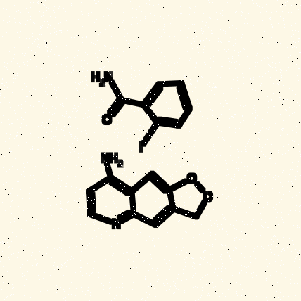 NC(=O)c1ccccc1I.Nc1ccnc2cc3c(cc12)OOC3